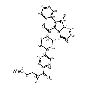 COCCN(C)C(=O)c1cnc(C2CCN(C(=O)C3=C(c4ccccc4)N(C)C4N=CN=CC34)CC2)cn1